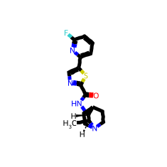 C[C@H]1[C@H](NC(=O)c2ncc(-c3cccc(F)n3)s2)C2CCN1CC2